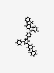 CC1(C)c2ccccc2-c2ccc3c(c21)c1ccccc1n3-c1ccc(-c2nc(-c3ccccc3)nc(-c3ccc4c(c3)oc3ccccc34)n2)cc1